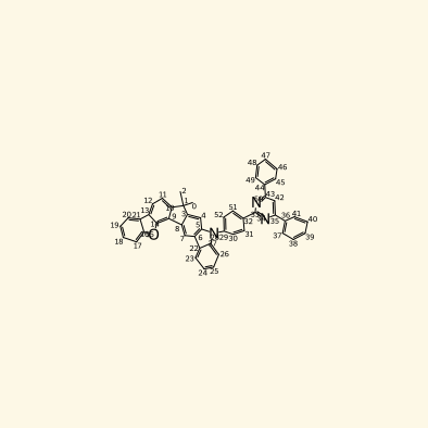 CC1(C)c2cc3c(cc2-c2c1ccc1c2oc2ccccc21)c1ccccc1n3-c1ccc(-c2nc(-c3ccccc3)cc(-c3ccccc3)n2)cc1